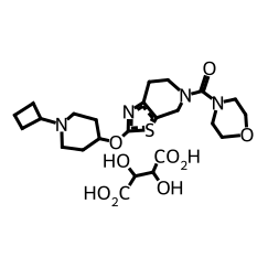 O=C(N1CCOCC1)N1CCc2nc(OC3CCN(C4CCC4)CC3)sc2C1.O=C(O)C(O)C(O)C(=O)O